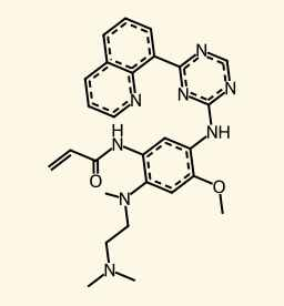 C=CC(=O)Nc1cc(Nc2ncnc(-c3cccc4cccnc34)n2)c(OC)cc1N(C)CCN(C)C